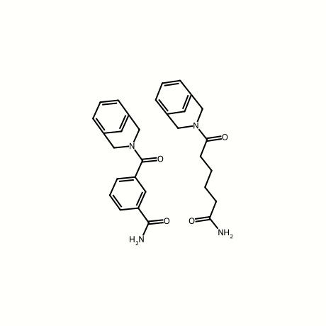 NC(=O)CCCCC(=O)N1Cc2cccc(c2)C1.NC(=O)c1cccc(C(=O)N2Cc3cccc(c3)C2)c1